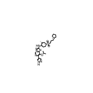 CC(C)Oc1c(-c2cn[nH]c2)ncn2nc(N[C@H]3CCN(S(=O)(=O)CCCN4CCCC4)C[C@H]3C)nc12